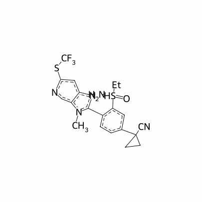 CC[SH](N)(=O)c1cc(C2(C#N)CC2)ccc1-c1nc2cc(SC(F)(F)F)ncc2n1C